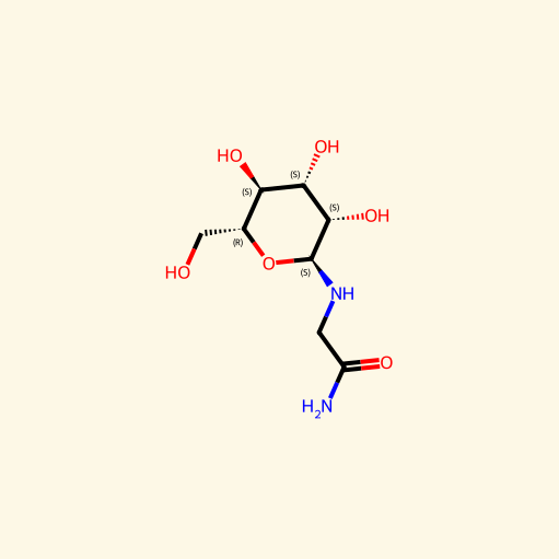 NC(=O)CN[C@H]1O[C@H](CO)[C@@H](O)[C@H](O)[C@@H]1O